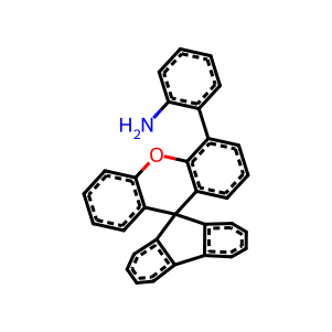 Nc1ccccc1-c1cccc2c1Oc1ccccc1C21c2ccccc2-c2ccccc21